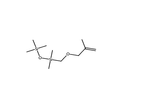 C=C(C)COC[Si](C)(C)O[Si](C)(C)C